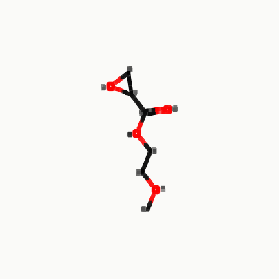 COCCOC(=O)C1CO1